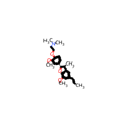 C/C=C/c1cc(OC)c2c(c1)[C@H](C)[C@@H](c1ccc(OCCN(C)C)c(OC)c1)O2